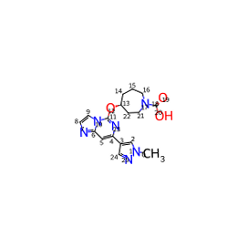 Cn1cc(-c2cc3nccn3c(O[C@H]3CCCN(C(=O)O)CC3)n2)cn1